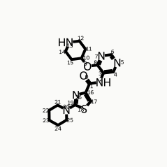 O=C(Nc1cncnc1OC1CCNCC1)c1csc(N2CCCCC2)n1